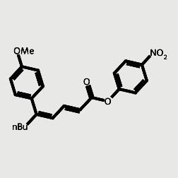 CCCCC(=CC=CC(=O)Oc1ccc([N+](=O)[O-])cc1)c1ccc(OC)cc1